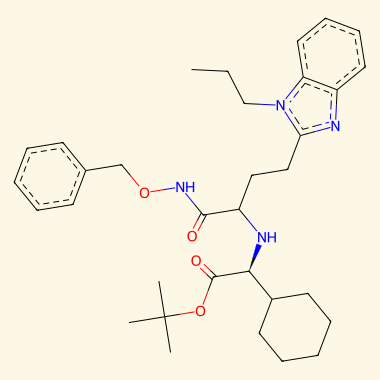 CCCn1c(CCC(N[C@H](C(=O)OC(C)(C)C)C2CCCCC2)C(=O)NOCc2ccccc2)nc2ccccc21